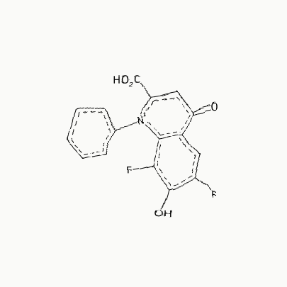 O=C(O)c1cc(=O)c2cc(F)c(O)c(F)c2n1-c1ccccc1